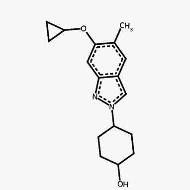 Cc1cc2cn(C3CCC(O)CC3)nc2cc1OC1CC1